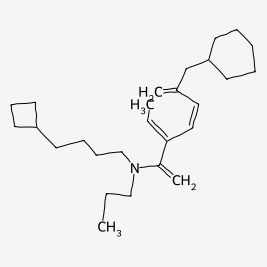 C=C(/C=C\C(=C/C)C(=C)N(CCC)CCCCC1CCC1)CC1CCCCC1